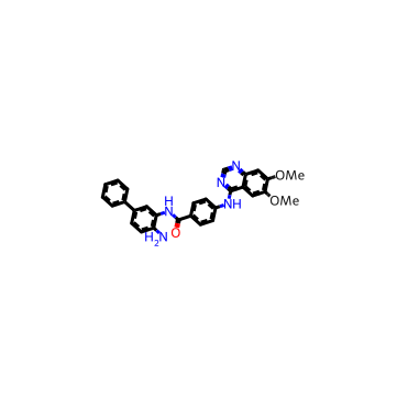 COc1cc2ncnc(Nc3ccc(C(=O)Nc4cc(-c5ccccc5)ccc4N)cc3)c2cc1OC